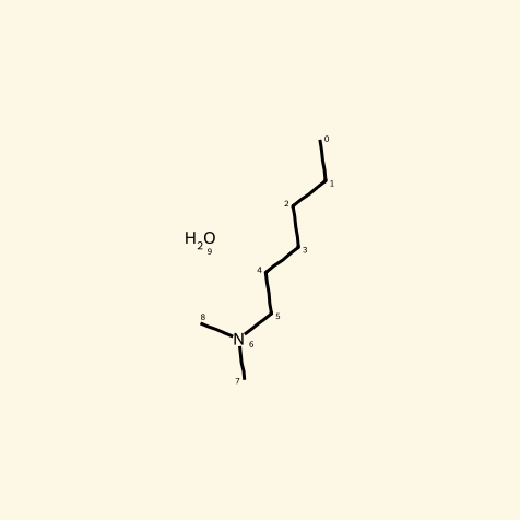 CCCCCCN(C)C.O